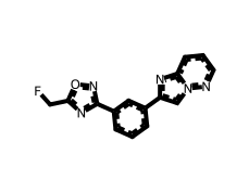 FCc1nc(-c2cccc(-c3cn4ncccc4n3)c2)no1